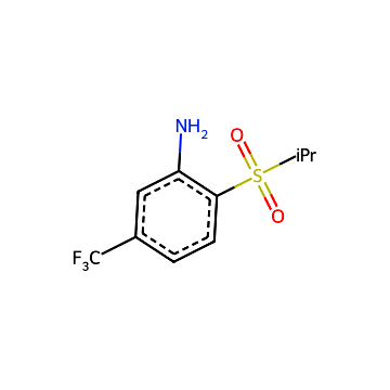 CC(C)S(=O)(=O)c1ccc(C(F)(F)F)cc1N